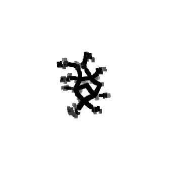 CO[C@@H]1C[C@@H]2C[C@@H](C2(C)C)[C@]1(C)OC